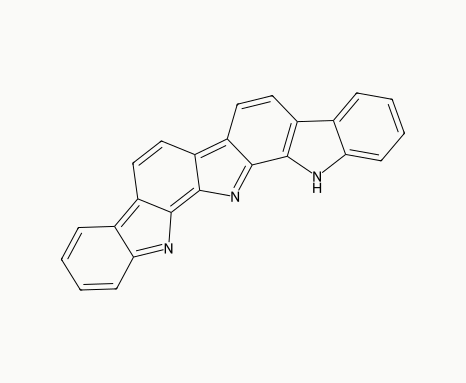 c1ccc2c(c1)=Nc1c3c(ccc1=2)=c1ccc2c([nH]c4ccccc42)c1=N3